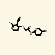 N#Cc1c(OCC(=O)Nc2ccc(Cl)cn2)ccnc1Cl